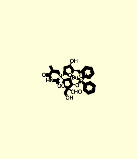 CC1=C[N+]([C@@H]2C[C@H](O[Si](c3ccccc3)(c3ccccc3)C(C)(C)C)[C@@](C=O)(CO)O2)([C@H]2C[C@H](O)[C@@H](CO)O2)C(=O)NC1=O